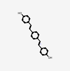 Oc1ccc(C=Cc2ccc(/C=C/c3ccc(O)cc3)cc2)cc1